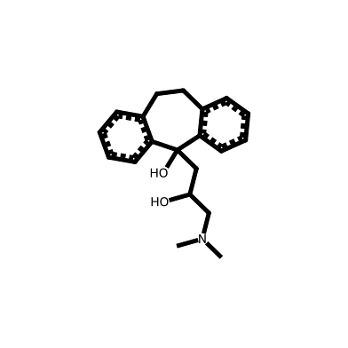 CN(C)CC(O)CC1(O)c2ccccc2CCc2ccccc21